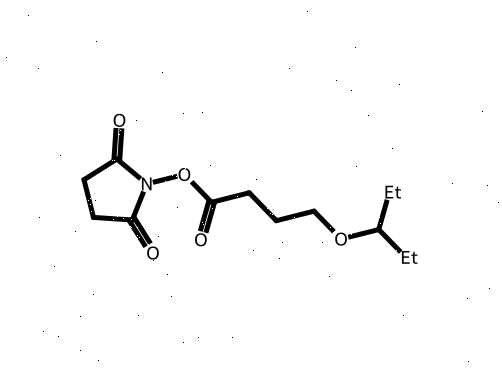 CCC(CC)OCCCC(=O)ON1C(=O)CCC1=O